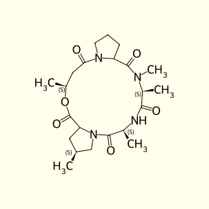 C[C@H]1CC2C(=O)O[C@@H](C)CC(=O)N3CCCC3C(=O)N(C)[C@@H](C)C(=O)N[C@@H](C)C(=O)N2C1